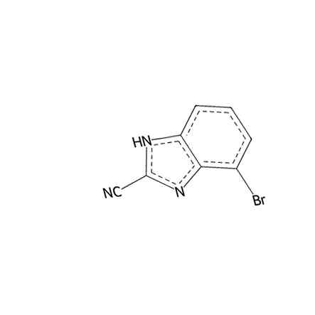 N#Cc1nc2c(Br)cccc2[nH]1